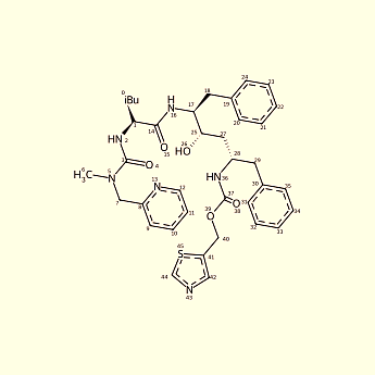 CC[C@H](C)[C@H](NC(=O)N(C)Cc1ccccn1)C(=O)N[C@@H](Cc1ccccc1)[C@@H](O)C[C@H](Cc1ccccc1)NC(=O)OCc1cncs1